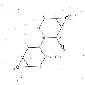 ClC1CC2OC2CC1C1CCC2OC2C1Cl